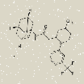 CC1CCN(c2ccnc(C(F)(F)F)c2)C(CC(=O)NC23C[C@H]4C[C@H](C2)C[C@@H](C3)C4)C1